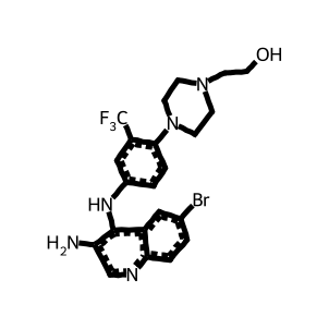 Nc1cnc2ccc(Br)cc2c1Nc1ccc(N2CCN(CCO)CC2)c(C(F)(F)F)c1